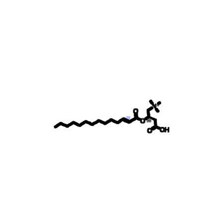 CCCCCCCCCCC/C=C/C(=O)O[C@H](CC(=O)O)C[N+](C)(C)C